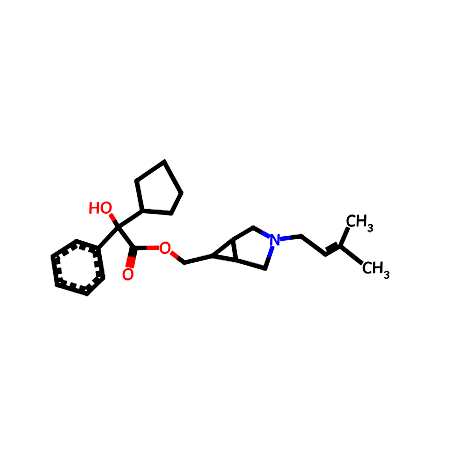 CC(C)=CCN1CC2C(COC(=O)C(O)(c3ccccc3)C3CCCC3)C2C1